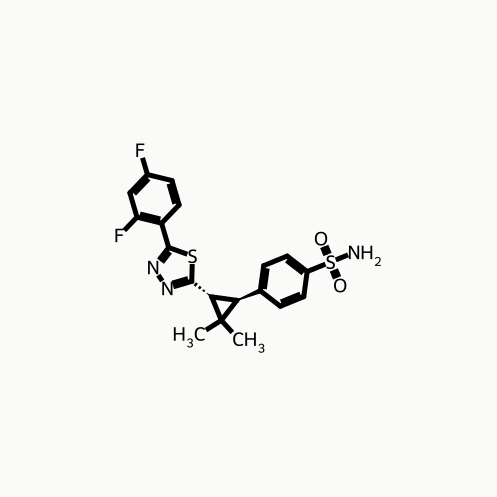 CC1(C)[C@H](c2ccc(S(N)(=O)=O)cc2)[C@H]1c1nnc(-c2ccc(F)cc2F)s1